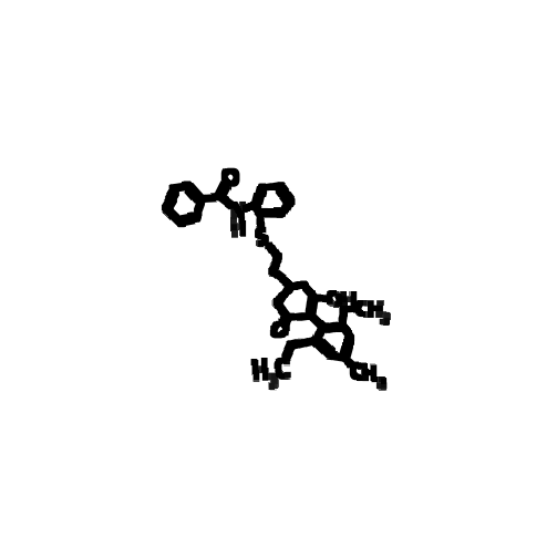 CCc1cc(C)cc(CC)c1C1=C(O)CC(CCSc2ccccc2NC(=O)c2ccccc2)CC1=O